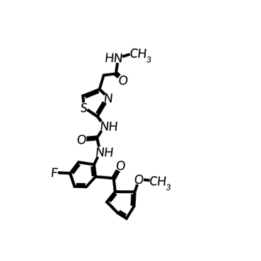 CNC(=O)Cc1csc(NC(=O)Nc2cc(F)ccc2C(=O)c2ccccc2OC)n1